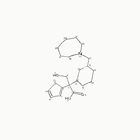 O=C(O)C(CO)(c1cccs1)N1CCCC(CN2CCCCCC2)C1